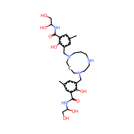 Cc1cc(CN2CCCNCCN(Cc3cc(C)cc(C(=O)NC(O)CO)c3O)CCC2)c(O)c(C(=O)NC(O)CO)c1